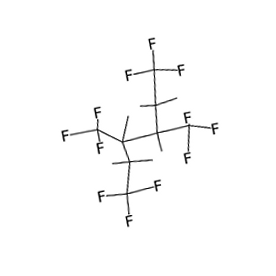 CC(C)(C(F)(F)F)C(C)(C(F)(F)F)C(C)(C(F)(F)F)C(C)(C)C(F)(F)F